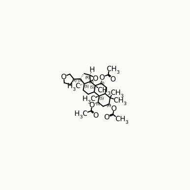 CC(=O)O[C@H]1C[C@@H](OC(C)=O)C(C)(C)C2C[C@@H](OC(C)=O)[C@]3(C)C(CC[C@@]4(C)[C@H]([C@H]5CCOC5)C[C@H]5O[C@]543)[C@]21C